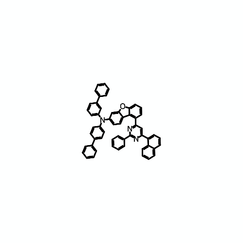 c1ccc(-c2ccc(N(c3cccc(-c4ccccc4)c3)c3ccc4c(c3)oc3cccc(-c5cc(-c6cccc7ccccc67)nc(-c6ccccc6)n5)c34)cc2)cc1